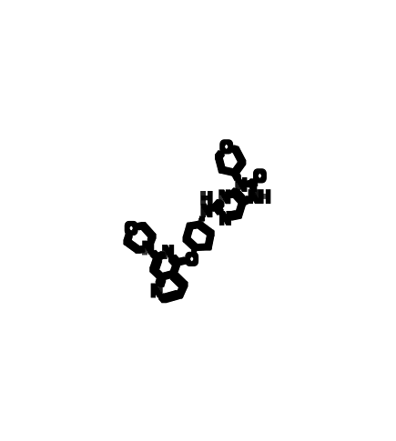 O=c1[nH]c2cnc(N[C@H]3CC[C@@H](Oc4nc(N5CCOCC5)cc5ncccc45)CC3)nc2n1C1CCOCC1